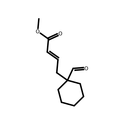 COC(=O)C=CCC1(C=O)CCCCC1